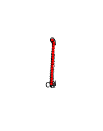 O=C=NCCCCCCCCCCCCCCCCCCCCCCCCCCCCCCC[Si](Cl)(Cl)Cl